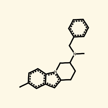 Cc1ccc2c(c1)cc1n2CC(N(C)Cc2ccccc2)CC1